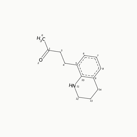 CC(=O)CCc1cccc2c1NCCC2